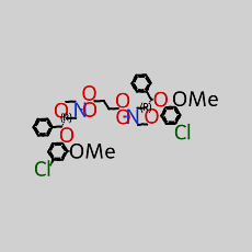 COc1cc(Cl)ccc1OC(c1ccccc1)[C@H]1CN(OC(=O)CCC(=O)ON2CCO[C@@H](C(Oc3ccc(Cl)cc3OC)c3ccccc3)C2)CCO1